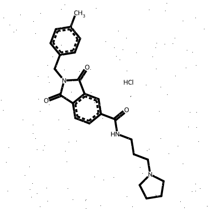 Cc1ccc(CN2C(=O)c3ccc(C(=O)NCCCN4CCCC4)cc3C2=O)cc1.Cl